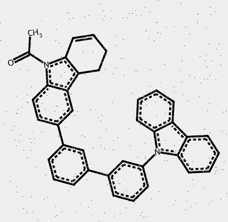 CC(=O)n1c2c(c3cc(-c4cccc(-c5cccc(-n6c7ccccc7c7ccccc76)c5)c4)ccc31)CCC=C2